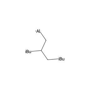 CCC(C)CC([CH2][Al])C(C)CC